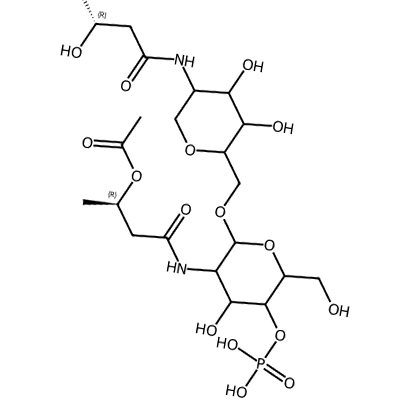 CC(=O)O[C@H](C)CC(=O)NC1C(OCC2OCC(NC(=O)C[C@@H](C)O)C(O)C2O)OC(CO)C(OP(=O)(O)O)C1O